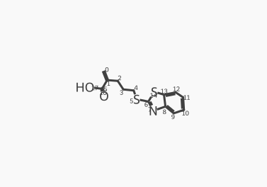 C=C(CCCSc1nc2ccccc2s1)C(=O)O